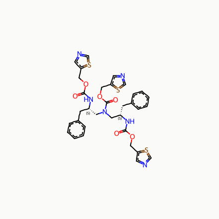 O=C(N[C@@H](Cc1ccccc1)CN(C[C@H](Cc1ccccc1)NC(=O)OCc1cncs1)C(=O)OCc1cncs1)OCc1cncs1